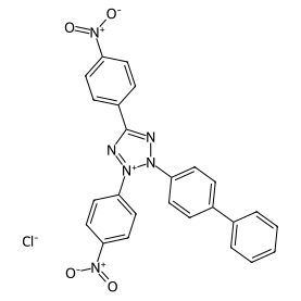 O=[N+]([O-])c1ccc(-c2nn(-c3ccc(-c4ccccc4)cc3)[n+](-c3ccc([N+](=O)[O-])cc3)n2)cc1.[Cl-]